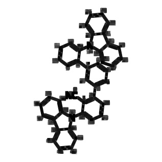 N#Cc1c(-c2cccc(-c3ccccc3-n3c4ccccc4c4ccccc43)c2)cccc1-n1c2ccccc2c2ccccc21